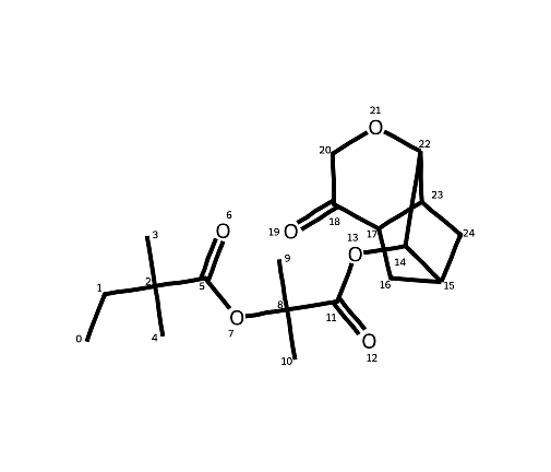 CCC(C)(C)C(=O)OC(C)(C)C(=O)OC1C2CC3C(=O)COC1C3C2